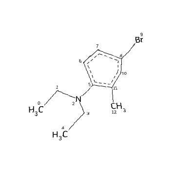 CCN(CC)c1ccc(Br)cc1C